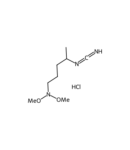 CON(CCCC(C)N=C=N)OC.Cl